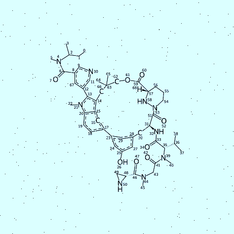 CCC(C)N(C)C(=O)c1cncc(-c2c3c4cc(ccc4n2C)-c2cc(O)cc(c2)C[C@H](NC(=O)[C@H](C(C)C)N(C)C(=O)CN(C)C(=O)[C@H]2CN2)C(=O)N2CCC[C@H](N2)C(=O)OCC(C)(C)C3)c1